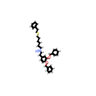 c1ccc(CCSCCCCCCNCCc2ccc(OCc3ccccc3)c(OCc3ccccc3)c2)cc1